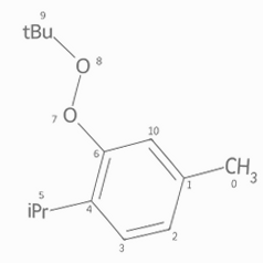 Cc1ccc(C(C)C)c(OOC(C)(C)C)c1